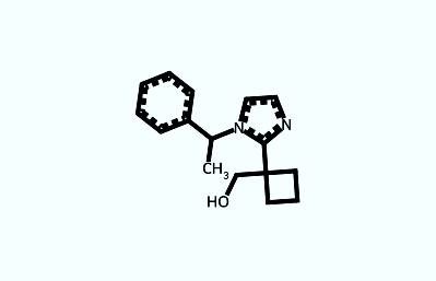 CC(c1ccccc1)n1ccnc1C1(CO)CCC1